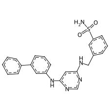 NS(=O)(=O)c1cccc(CNc2cc(Nc3cccc(-c4ccccc4)c3)ncn2)c1